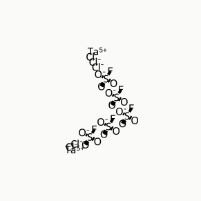 O=S(=O)([O-])F.O=S(=O)([O-])F.O=S(=O)([O-])F.O=S(=O)([O-])F.O=S(=O)([O-])F.[Cl-].[Cl-].[Cl-].[Cl-].[Cl-].[Ta+5].[Ta+5]